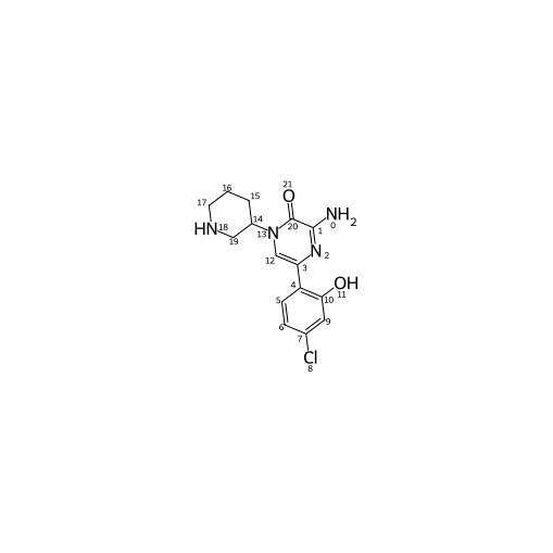 Nc1nc(-c2ccc(Cl)cc2O)cn(C2CCCNC2)c1=O